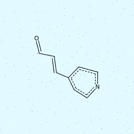 O=[C]/C=C/c1ccncc1